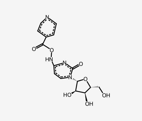 O=C(ONc1ccn([C@@H]2O[C@H](CO)[C@@H](O)[C@H]2O)c(=O)n1)c1ccncc1